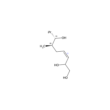 CC(C)[C@H](O)[C@H](C)C/C=C\C(O)CO